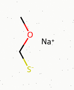 COC[S-].[Na+]